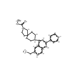 CC(C)(C)OC(=O)N1CCC2(CCN(c3nc(-c4ccncc4)nc4cnc(CC(F)(F)F)cc34)CC2)C1